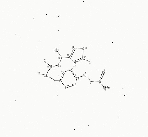 CNC(=O)COc1ccc(CC(C)N(C)CC(O)c2csc(C)n2)cc1